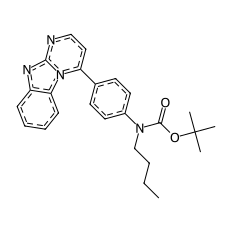 CCCCN(C(=O)OC(C)(C)C)c1ccc(-c2ccnc3nc4ccccc4n23)cc1